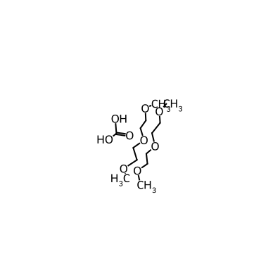 COCCOCCOC.COCCOCCOC.O=C(O)O